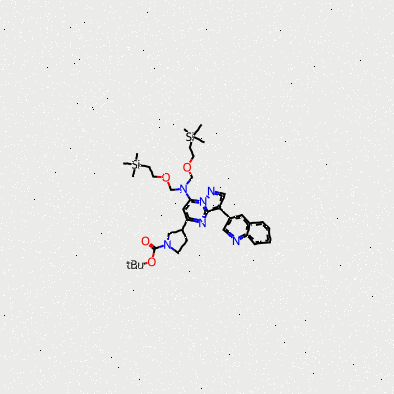 CC(C)(C)OC(=O)N1CCC(c2cc(N(COCC[Si](C)(C)C)COCC[Si](C)(C)C)n3ncc(-c4cnc5ccccc5c4)c3n2)C1